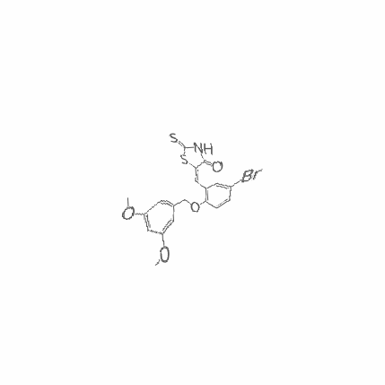 COc1cc(COc2ccc(Br)cc2C=C2SC(=S)NC2=O)cc(OC)c1